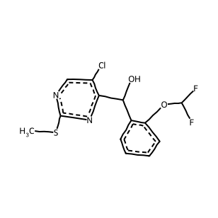 CSc1ncc(Cl)c(C(O)c2ccccc2OC(F)F)n1